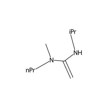 C=C(NC(C)C)N(C)CCC